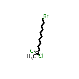 C[Si](Cl)(Cl)CCCCCCCCCCBr